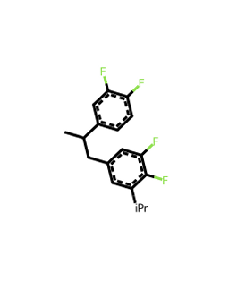 CC(C)c1cc(CC(C)c2ccc(F)c(F)c2)cc(F)c1F